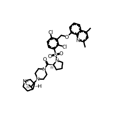 Cc1cc(C)c2cccc(OCc3c(Cl)ccc(S(=O)(=O)N4CCC[C@H]4C(=O)N4CCN([C@@H]5CN6CCC5CC6)CC4)c3Cl)c2n1